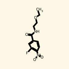 CCOCCNC(=O)c1ccc([N+](=O)[O-])c(F)c1